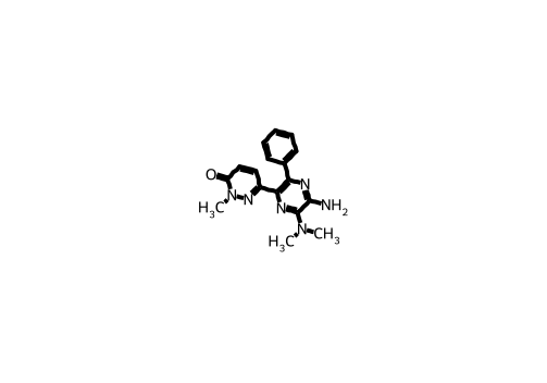 CN(C)c1nc(-c2ccc(=O)n(C)n2)c(-c2ccccc2)nc1N